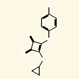 O=c1c(Nc2ccc(I)cc2)c(NC2CC2)c1=O